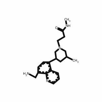 CNC(=O)CCN1CC(C)CC(c2ccc(CN)c3ncccc23)C1